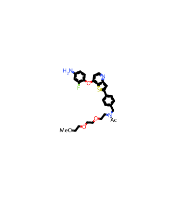 COCCOCCOCCN(Cc1ccc(-c2cc3nccc(Oc4ccc(N)cc4F)c3s2)cc1)C(C)=O